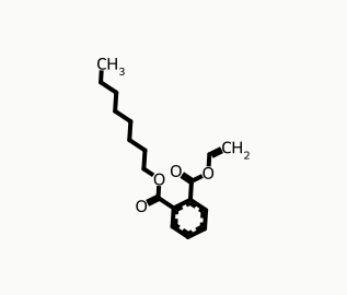 C=COC(=O)c1ccccc1C(=O)OCCCCCCCC